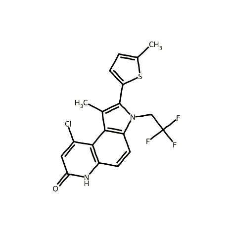 Cc1ccc(-c2c(C)c3c4c(Cl)cc(=O)[nH]c4ccc3n2CC(F)(F)F)s1